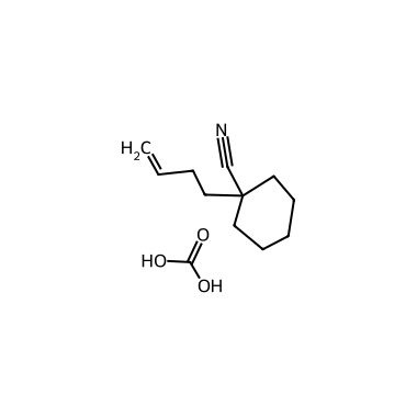 C=CCCC1(C#N)CCCCC1.O=C(O)O